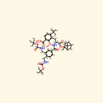 COc1c(C(=O)O)ccc(C(C)(C)C)c1C[C@H](NC(=O)c1ccc(CNC(=O)OC(C)(C)C)c(CNC(=O)OC(C)(C)C)c1)B1OC2CC3CC(C3(C)C)C2(C)O1